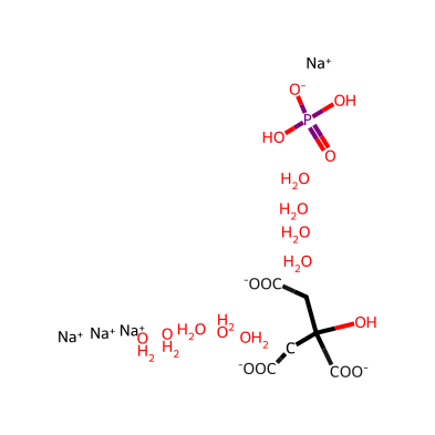 O.O.O.O.O.O.O.O.O.O=C([O-])CC(O)(CC(=O)[O-])C(=O)[O-].O=P([O-])(O)O.[Na+].[Na+].[Na+].[Na+]